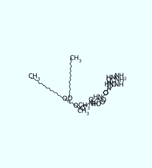 CCCCCCCCCCCCCCCCCCOC[C@H](CCCOCC(C)(C)OCCCNC(=O)CC[C@@H](NC(=O)c1ccc(NCC2CNC3=C(N2)C(=O)NC(N)N3)cc1)C(=O)O)OCCCCCCCCCCCCCCCCCC